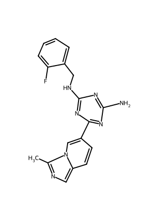 Cc1ncc2ccc(-c3nc(N)nc(NCc4ccccc4F)n3)cn12